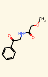 COCC(=O)NCC(=O)c1ccccc1